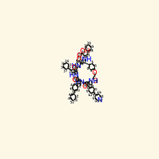 O=C1COc2ccc(cc2)C[C@@H](C(=O)N[C@H](Cc2ccccc2)C(=O)O)NC(=O)[C@H](CCc2ccccc2)NC(=O)[C@@H](Cc2ccc(-c3ccccc3)cc2)NC(=O)[C@H](Cc2ccc(-c3ccncc3)cc2)N1